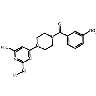 CCNc1nc(C)cc(N2CCN(C(=O)c3cccc([N+](=O)[O-])c3)CC2)n1